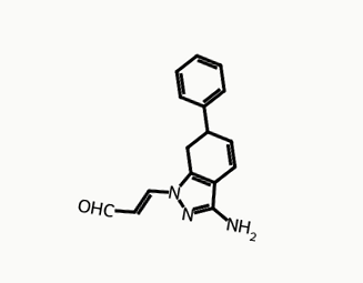 Nc1nn(C=CC=O)c2c1C=CC(c1ccccc1)C2